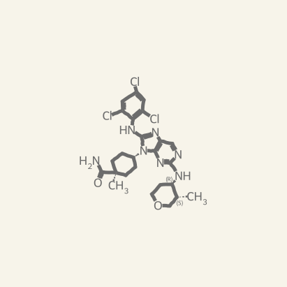 C[C@@H]1COCC[C@H]1Nc1ncc2nc(Nc3c(Cl)cc(Cl)cc3Cl)n([C@H]3CC[C@](C)(C(N)=O)CC3)c2n1